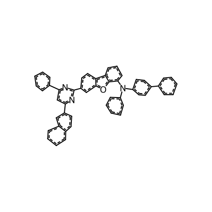 c1ccc(-c2ccc(N(c3ccccc3)c3cccc4c3oc3cc(-c5nc(-c6ccccc6)cc(-c6ccc7ccccc7c6)n5)ccc34)cc2)cc1